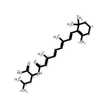 CC1=C(/C=C/C(C)=C/C=C/C(C)=C/C(=O)NC(CC(C)C)C(=O)O)C(C)(C)CCC1